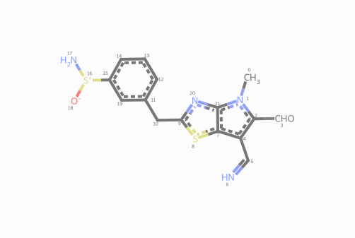 Cn1c(C=O)c(C=N)c2sc(Cc3cccc([S+](N)[O-])c3)nc21